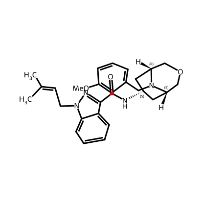 COc1cccc(CN2[C@@H]3COC[C@H]2C[C@@H](NC(=O)c2nn(CC=C(C)C)c4ccccc24)C3)c1